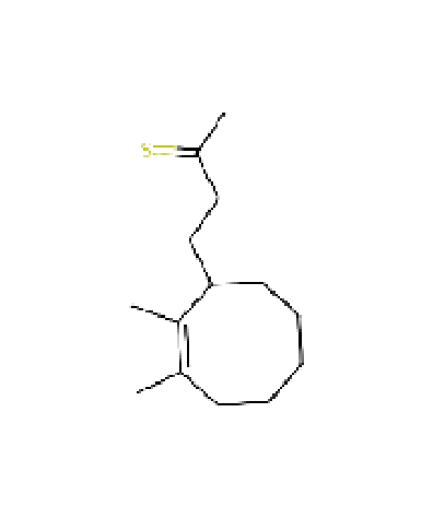 CC(=S)CCC1CCCCC/C(C)=C\1C